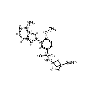 COc1ccc(S(=O)(=O)NC23CCC(C#N)(C2)C3)cc1-c1cn2c(N)ncnc2n1